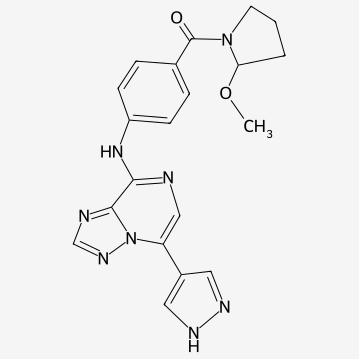 COC1CCCN1C(=O)c1ccc(Nc2ncc(-c3cn[nH]c3)n3ncnc23)cc1